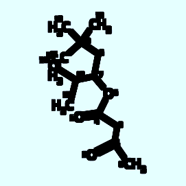 CC(=O)CC(=O)OC(CC(C)(C)C)C(C)C